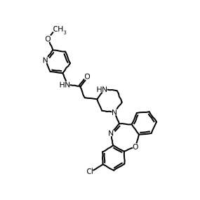 COc1ccc(NC(=O)CC2CN(C3=Nc4cc(Cl)ccc4Oc4ccccc43)CCN2)cn1